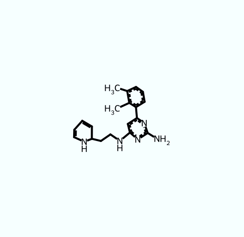 Cc1cccc(-c2cc(NCCC3C=CC=CN3)nc(N)n2)c1C